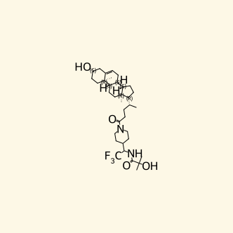 CC(CCC(=O)N1CCC(C(NC(=O)C(C)(C)O)C(F)(F)F)CC1)[C@H]1CC[C@H]2[C@@H]3CC=C4C[C@@H](O)CC[C@]4(C)[C@H]3CC[C@]12C